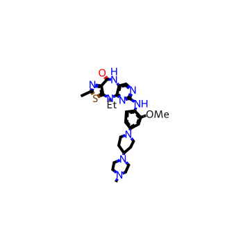 CCN1c2nc(Nc3ccc(N4CCC(N5CCN(C)CC5)CC4)cc3OC)ncc2NC(=O)c2nc(C)sc21